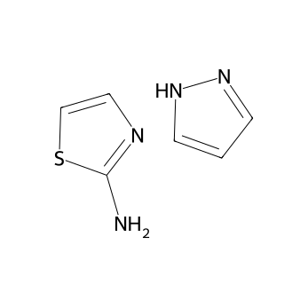 Nc1nccs1.c1cn[nH]c1